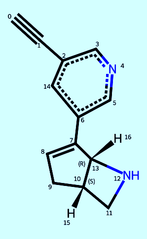 C#Cc1cncc(C2=CC[C@H]3CN[C@@H]23)c1